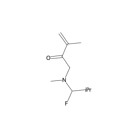 C=C(C)C(=O)CN(C)C(F)C(C)C